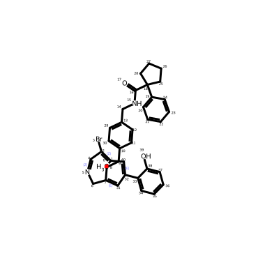 CC1=C(Br)\C=N/C/C(CCc2ccc(CNC(=O)C3(c4ccccc4)CCCC3)cc2)=C/C(c2ccccc2O)=C\1